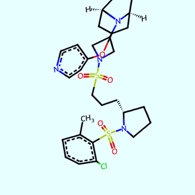 Cc1cccc(Cl)c1S(=O)(=O)N1CCC[C@H]1CCCS(=O)(=O)N1CC(N2[C@@H]3CC[C@H]2CC(Oc2ccncc2)C3)C1